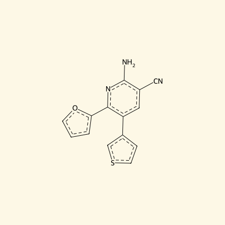 N#Cc1cc(-c2ccsc2)c(-c2ccco2)nc1N